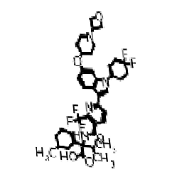 CC1CCCC(C(NC(=O)c2ccc(-c3cn(C4CCC(F)(F)CC4)c4cc(OC5CCN(C6COC6)CC5)ccc34)nc2C(F)(F)F)(C(=O)O)C(C)C)C1